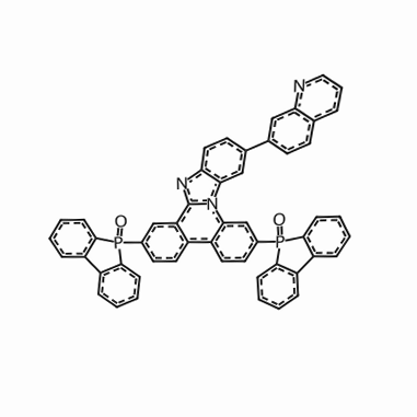 O=P1(c2ccc3c4ccc(P5(=O)c6ccccc6-c6ccccc65)cc4n4c5cc(-c6ccc7cccnc7c6)ccc5nc4c3c2)c2ccccc2-c2ccccc21